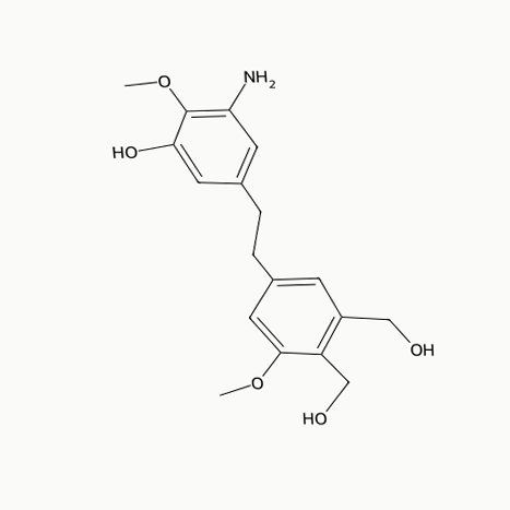 COc1cc(CCc2cc(N)c(OC)c(O)c2)cc(CO)c1CO